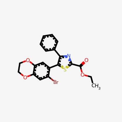 CCOC(=O)c1nc(-c2ccccc2)c(-c2cc3c(cc2Br)OCCO3)s1